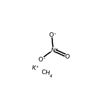 C.O=[N+]([O-])[O-].[K+]